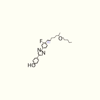 CCCCCOC(C)CCC/C=C/c1ccc(-c2ncc(-c3ccc(O)cc3)cn2)cc1F